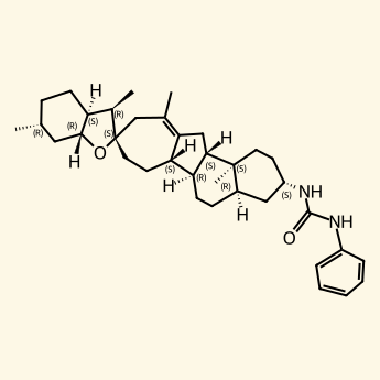 CC1=C2C[C@H]3[C@@H](CC[C@@H]4C[C@@H](NC(=O)Nc5ccccc5)CC[C@@]43C)[C@@H]2CC[C@@]2(C1)O[C@@H]1C[C@H](C)CC[C@H]1[C@H]2C